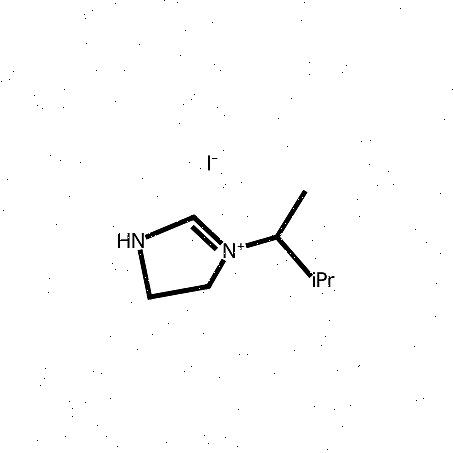 CC(C)C(C)[N+]1=CNCC1.[I-]